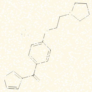 O.O.O=C(c1ccc(OCCN2CCCC2)cc1)c1ccsc1